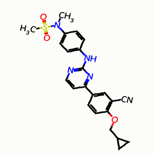 CN(c1ccc(Nc2nccc(-c3ccc(OCC4CC4)c(C#N)c3)n2)cc1)S(C)(=O)=O